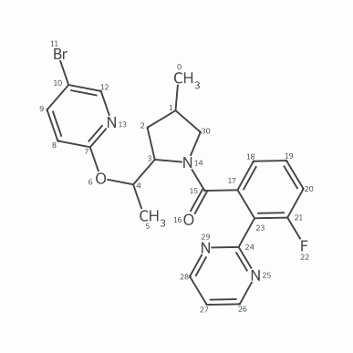 CC1CC(C(C)Oc2ccc(Br)cn2)N(C(=O)c2cccc(F)c2-c2ncccn2)C1